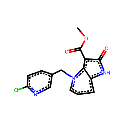 COC(=O)c1c2n(Cc3ccc(Cl)nc3)cccc-2[nH]c1=O